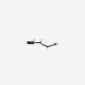 C#CC[CH]CC